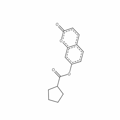 O=C(Oc1ccc2ccc(=O)oc2c1)C1CCCC1